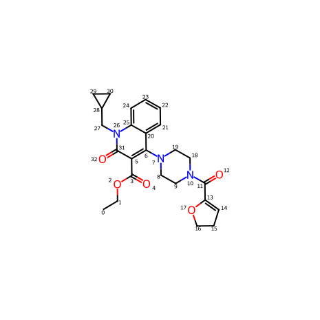 CCOC(=O)c1c(N2CCN(C(=O)C3=CCCO3)CC2)c2ccccc2n(CC2CC2)c1=O